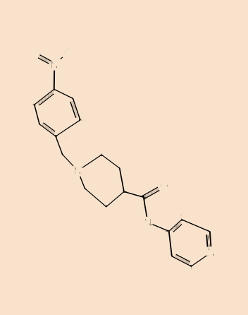 O=C(Nc1ccncc1)C1CCN(Cc2ccc([N+](=O)[O-])cc2)CC1